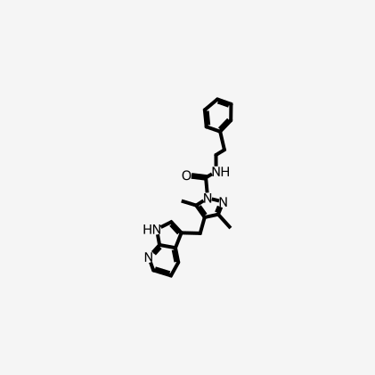 Cc1nn(C(=O)NCCc2ccccc2)c(C)c1Cc1c[nH]c2ncccc12